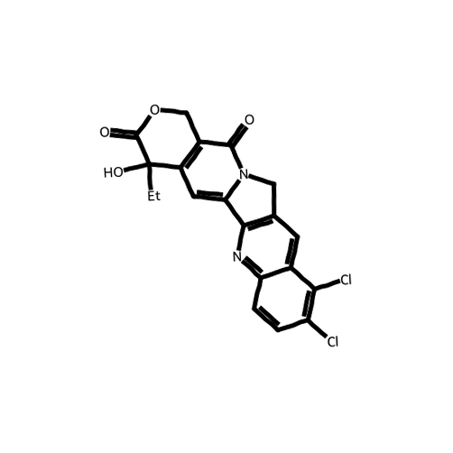 CCC1(O)C(=O)OCc2c1cc1n(c2=O)Cc2cc3c(Cl)c(Cl)ccc3nc2-1